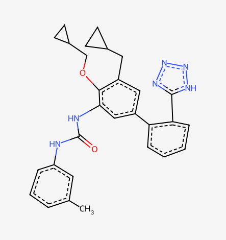 Cc1cccc(NC(=O)Nc2cc(-c3ccccc3-c3nnn[nH]3)cc(CC3CC3)c2OCC2CC2)c1